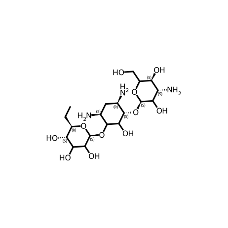 CC[C@H]1O[C@@H](OC2C(O)[C@@H](O[C@H]3OC(CO)[C@@H](O)[C@H](N)C3O)[C@H](N)C[C@@H]2N)C(O)C(O)[C@@H]1O